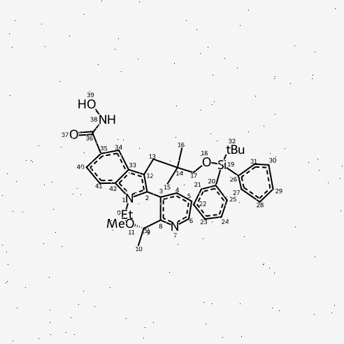 CCn1c(-c2cccnc2[C@H](C)OC)c(CC(C)(C)CO[Si](c2ccccc2)(c2ccccc2)C(C)(C)C)c2cc(C(=O)NO)ccc21